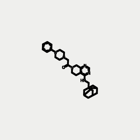 O=C(CN1CCN(c2ccccc2)CC1)N1CCc2c(ncnc2NCC23CC4CC(CC(C4)C2)C3)C1